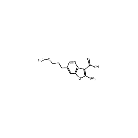 COCCCc1cnc2c(C(=O)O)c(N)oc2c1